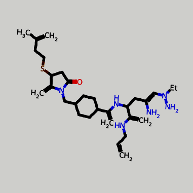 C=CCNC(=C)C(C/C(N)=C/N(N)CC)NC(=C)C1CCC(CN2C(=C)C(SCCC(=C)C)CC2=O)CC1